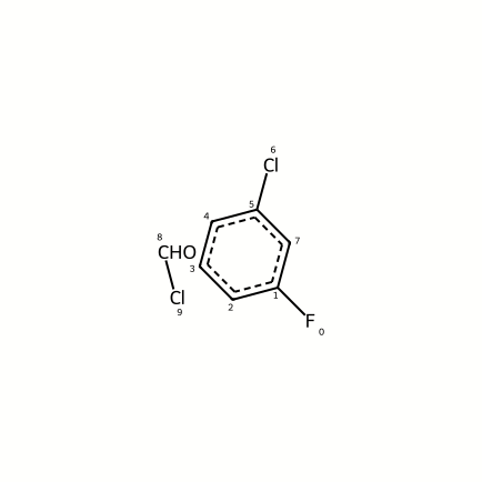 Fc1cccc(Cl)c1.O=CCl